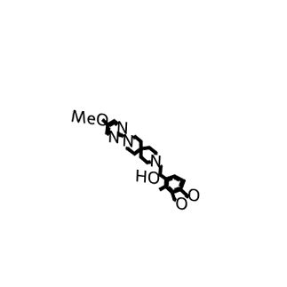 COc1cnc(N2CCC3(CCN(C[C@H](O)c4ccc5c(c4C)COC5=O)CC3)CC2)nc1